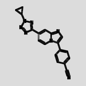 N#Cc1ccc(-c2cnc3cc(-c4nnn(C5CC5)n4)ccn23)cc1